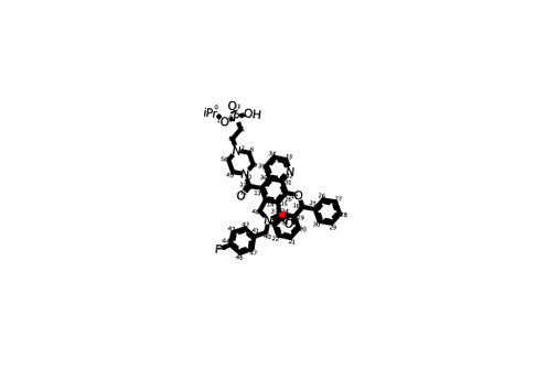 CC(C)OP(=O)(O)CCN1CCN(C(=O)c2c3c(c(OC(c4ccccc4)c4ccccc4)c4ncccc24)C(=O)N(Cc2ccc(F)cc2)C3)CC1